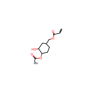 C=CC(=O)OCC1CCC(OC(=O)C(C)CC)C(O)C1